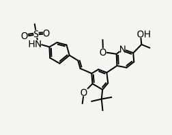 COc1nc(C(C)O)ccc1-c1cc(C=Cc2ccc(NS(C)(=O)=O)cc2)c(OC)c(C(C)(C)C)c1